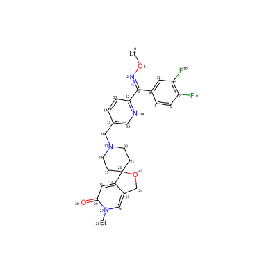 CCO/N=C(\c1ccc(F)c(F)c1)c1ccc(CN2CCC3(CC2)OCc2cn(CC)c(=O)cc23)cn1